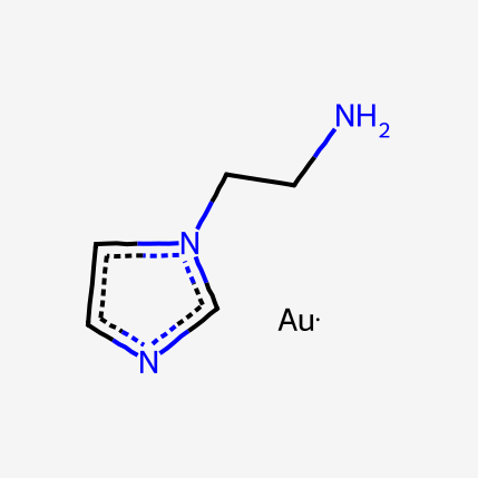 NCCn1ccnc1.[Au]